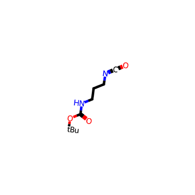 CC(C)(C)OC(=O)NCCCN=C=O